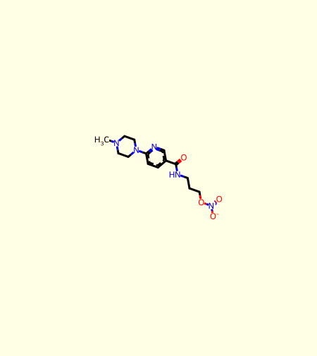 CN1CCN(c2ccc(C(=O)NCCCO[N+](=O)[O-])cn2)CC1